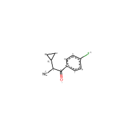 N#CC(C(=O)c1ccc(F)cc1)C1CC1